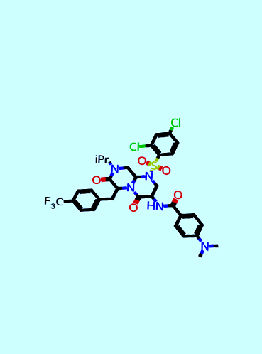 CC(C)N1CC2N(C(=O)C(NC(=O)c3ccc(N(C)C)cc3)CN2S(=O)(=O)c2ccc(Cl)cc2Cl)C(Cc2ccc(C(F)(F)F)cc2)C1=O